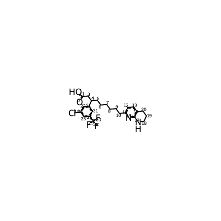 O=C(O)CC(CCCCCCc1ccc2c(n1)NCCC2)c1cc(Cl)cc(C(F)(F)F)c1